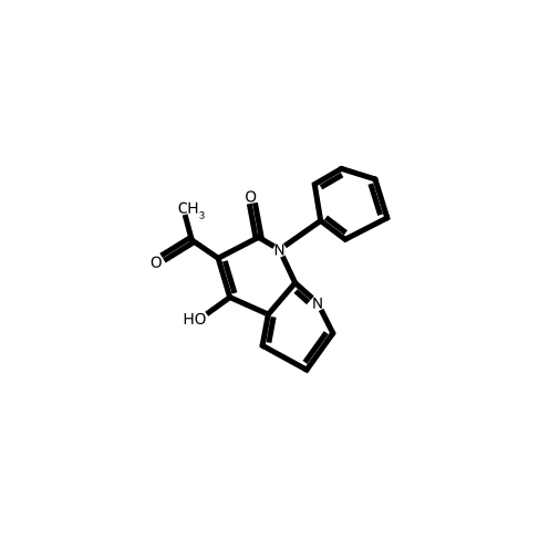 CC(=O)c1c(O)c2cccnc2n(-c2ccccc2)c1=O